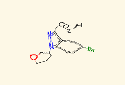 O=C(O)c1nn(C2CCOC2)c2ccc(Br)cc12